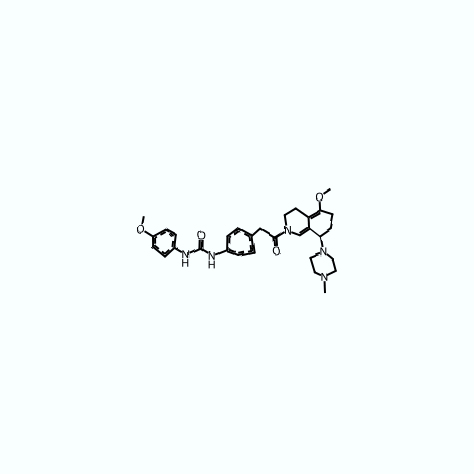 COC1=C2CCN(C(=O)Cc3ccc(NC(=O)Nc4ccc(OC)cc4)cc3)C=C2C(N2CCN(C)CC2)CC1